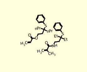 C=C(C)C(=O)NCCC(CC)(CC)Sc1ccccc1.C=CC(=O)OCCC(CCC)(CCC)Sc1ccccc1